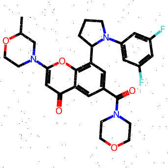 CC1CN(c2cc(=O)c3cc(C(=O)N4CCOCC4)cc(C4CCCN4c4cc(F)cc(F)c4)c3o2)CCO1